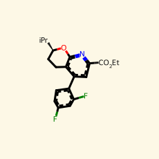 CCOC(=O)c1cc(-c2ccc(F)cc2F)c2c(n1)O[C@H](C(C)C)CC2